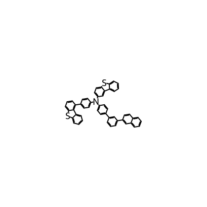 c1cc(-c2ccc(N(c3ccc(-c4cccc5sc6ccccc6c45)cc3)c3ccc4sc5ccccc5c4c3)cc2)cc(-c2ccc3ccccc3c2)c1